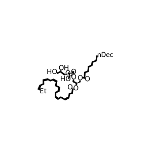 CC/C=C\C/C=C\C/C=C\C/C=C\C/C=C\C/C=C\CCC(=O)O[C@H](COC(=O)CCCCCCCCCCCCCCCCC)COP(=O)(O)OCC(O)CO